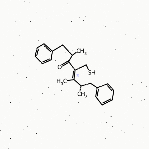 C/C(=C(/CS)C(=O)C(C)Cc1ccccc1)C(C)Cc1ccccc1